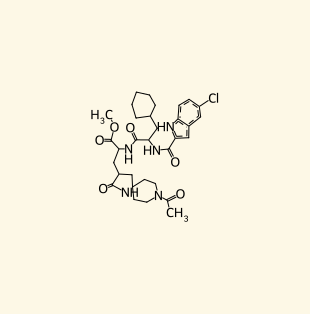 COC(=O)C(CC1CC2(CCN(C(C)=O)CC2)NC1=O)NC(=O)C(CC1CCCCC1)NC(=O)c1cc2cc(Cl)ccc2[nH]1